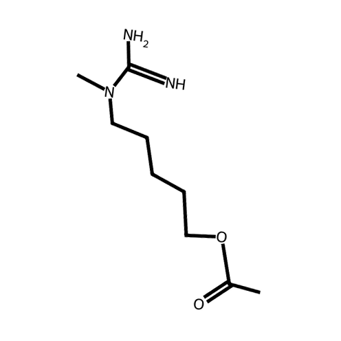 CC(=O)OCCCCCN(C)C(=N)N